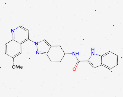 COc1ccc2nccc(-n3cc4c(n3)CCC(NC(=O)c3cc5ccccc5[nH]3)C4)c2c1